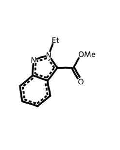 CCn1nc2ccccc2c1C(=O)OC